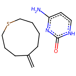 C=C1CCCCSCCC1.Nc1cc[nH]c(=O)n1